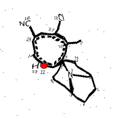 Cc1c(N2C3CCC2CC(C)(O)C3)ccc(C#N)c1Cl